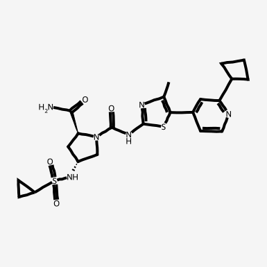 Cc1nc(NC(=O)N2C[C@H](NS(=O)(=O)C3CC3)C[C@H]2C(N)=O)sc1-c1ccnc(C2CCC2)c1